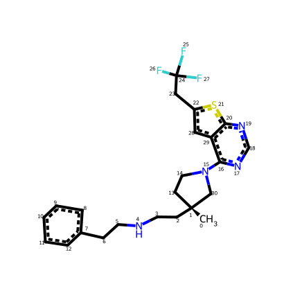 C[C@@]1(CCNCCc2ccccc2)CCN(c2ncnc3sc(CC(F)(F)F)cc23)C1